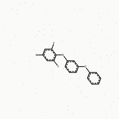 Fc1cc(I)cc(F)c1Oc1cccc(Oc2ccccc2)c1